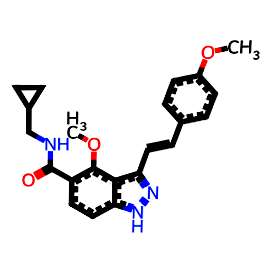 COc1ccc(/C=C/c2n[nH]c3ccc(C(=O)NCC4CC4)c(OC)c23)cc1